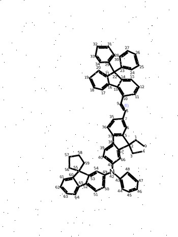 CCC1(CC)c2cc(/C=C/c3cccc4c3-c3ccccc3C4(c3ccccc3)c3ccccc3)ccc2-c2ccc(N(c3ccccc3)c3ccc4c(c3)C3(CCCC3)c3ccccc3-4)cc21